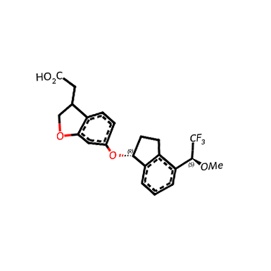 CO[C@@H](c1cccc2c1CC[C@H]2Oc1ccc2c(c1)OCC2CC(=O)O)C(F)(F)F